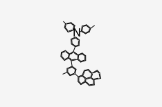 Cc1ccc(N(c2ccc(C)cc2)c2ccc(-c3c4ccccc4c(-c4cc(C)cc(-c5ccc6ccc7cccc8ccc5c6c78)c4)c4ccccc34)cc2)cc1